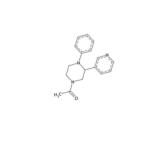 CC(=O)N1CCN(c2ccccc2)C(c2cccnc2)C1